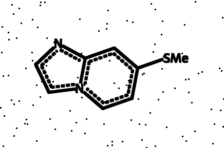 CSc1ccn2ccnc2c1